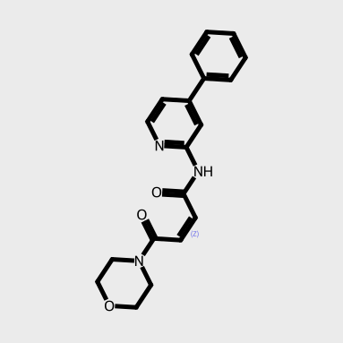 O=C(/C=C\C(=O)N1CCOCC1)Nc1cc(-c2ccccc2)ccn1